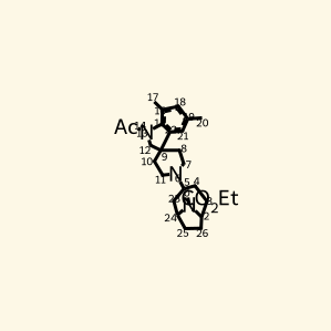 CCOC(=O)N1C2CCC(N3CCC4(CC3)CN(C(C)=O)c3c(C)cc(C)cc34)CC1CC2